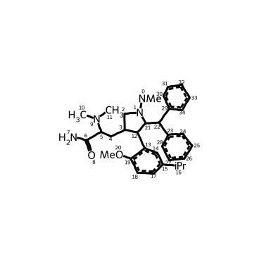 CNN1CC(CC(C(N)=O)N(C)C)C(c2cc(C(C)C)ccc2OC)C1C(c1ccccc1)c1ccccc1